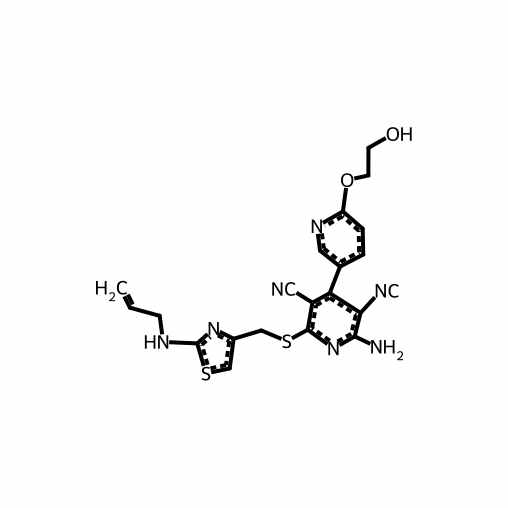 [C-]#[N+]c1c(N)nc(SCc2csc(NCC=C)n2)c(C#N)c1-c1ccc(OCCO)nc1